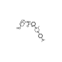 CC1CN(c2ccc(N(C)C)cc2)CCN1c1cccc(C(=O)NC2C3CC4CC2CC(O)(C4)C3)n1